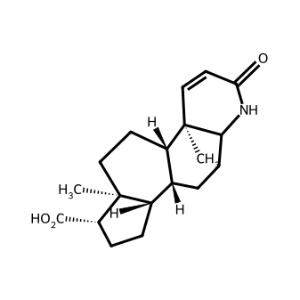 C[C@]12CC[C@H]3[C@H](CCC4NC(=O)C=C[C@@]43C)[C@@H]1CC[C@@H]2C(=O)O